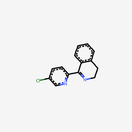 Clc1ccc(C2=NCCc3ccccc32)nc1